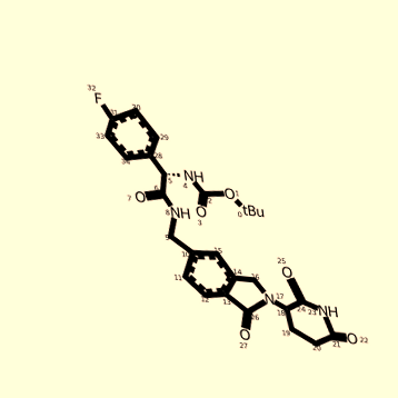 CC(C)(C)OC(=O)N[C@H](C(=O)NCc1ccc2c(c1)CN(C1CCC(=O)NC1=O)C2=O)c1ccc(F)cc1